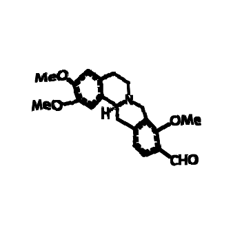 COc1cc2c(cc1OC)[C@@H]1Cc3ccc(C=O)c(OC)c3CN1CC2